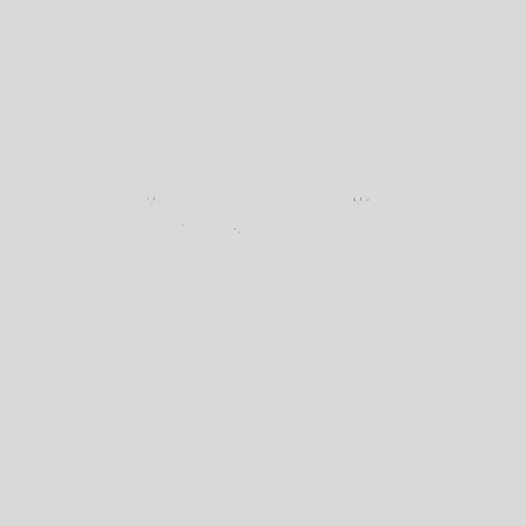 COCO[C@H]1CC2C(C(=O)OC)=C(c3ccc(F)cc3)CC1N2C